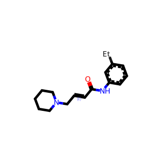 CCc1cccc(NC(=O)/C=C/CN2CCCCC2)c1